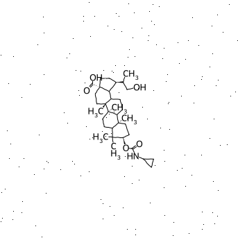 CC(CO)[C@@H]1CC[C@]2(C(=O)O)CC[C@]3(C)C(CCC4[C@@]5(C)CC[C@@H](OC(=O)NC6CC6)C(C)(C)C5CC[C@]43C)C12